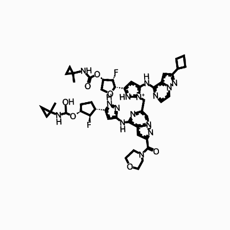 CC1(NC(=O)O[C@H]2CO[C@@H](c3cc(Nc4nccn5nc(C6CCC6)cc45)[n+](Cc4cn5nc(C(=O)N6CCOCC6)cc5c(Nc5cc([C@H]6CC[C@@H](OC(O)NC7(C)CC7)[C@@H]6F)[nH]n5)n4)[nH]3)[C@H]2F)CC1